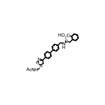 CC(=O)NC[C@H]1CC(c2ccc(-c3ccc(CNOCc4ccccc4C(=O)O)cc3)cc2)=NO1